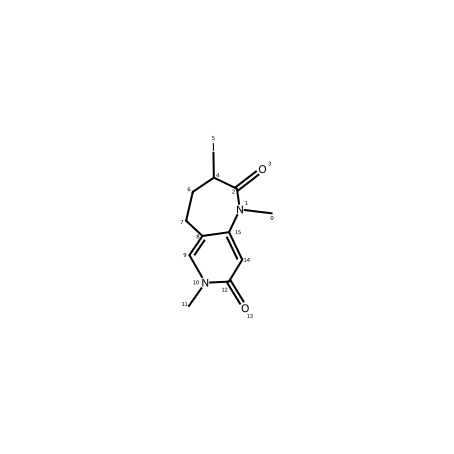 CN1C(=O)C(I)CCc2cn(C)c(=O)cc21